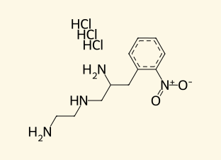 Cl.Cl.Cl.NCCNCC(N)Cc1ccccc1[N+](=O)[O-]